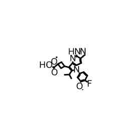 COc1cc(-n2c(C(C)C)c(C3CC(OC)(C(=O)O)C3)c3nc4[nH]ncc4cc32)ccc1F